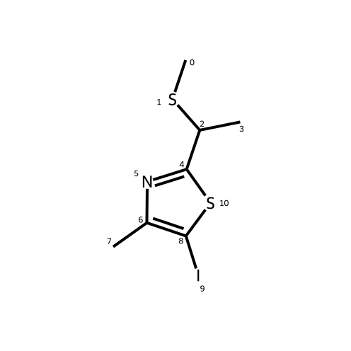 CSC(C)c1nc(C)c(I)s1